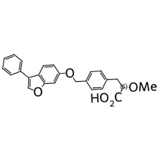 CO[C@@H](Cc1ccc(COc2ccc3c(-c4ccccc4)coc3c2)cc1)C(=O)O